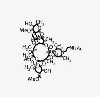 CON=C1C[C@@H](C)O[C@@H](O[C@@H]2[C@@H](C)[C@H](O[C@H]3C[C@H](C)N(CCNC(C)=O)C[C@H](C)O3)[C@@H](C)C(=O)O[C@H]([C@@H](C)CO[C@@H]3O[C@H](C)[C@@H](O)[C@@H](OC)[C@H]3OC)[C@H](C)[C@@H](OC(=O)CC(C)C)[C@@H](C)C(=O)[C@@](C)(OC(C)=O)C[C@@H]2C)[C@@H]1O